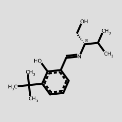 CC(C)[C@@H](CO)N=Cc1cccc(C(C)(C)C)c1O